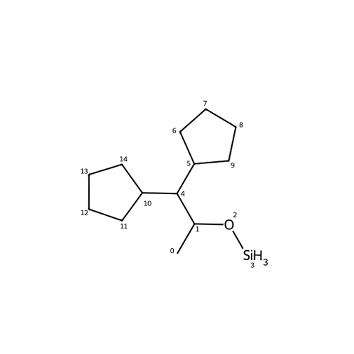 CC(O[SiH3])C(C1CCCC1)C1CCCC1